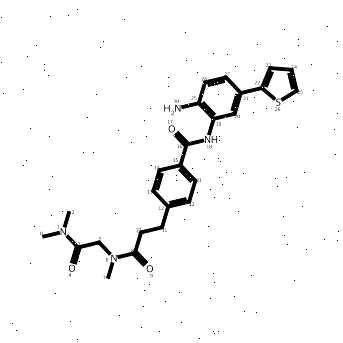 CN(C)C(=O)CN(C)C(=O)[CH]Cc1ccc(C(=O)Nc2cc(-c3cccs3)ccc2N)cc1